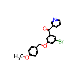 COc1ccc(COc2cc(Br)cc(C(=O)c3cccnc3)c2)cc1